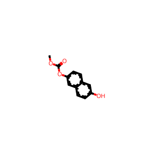 COC(=O)Oc1ccc2cc(O)ccc2c1